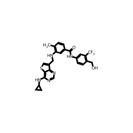 Cc1ccc(C(=O)Nc2ccc(CO)c(C(F)(F)F)c2)cc1NCc1csc2c(NC3CC3)ncnc12